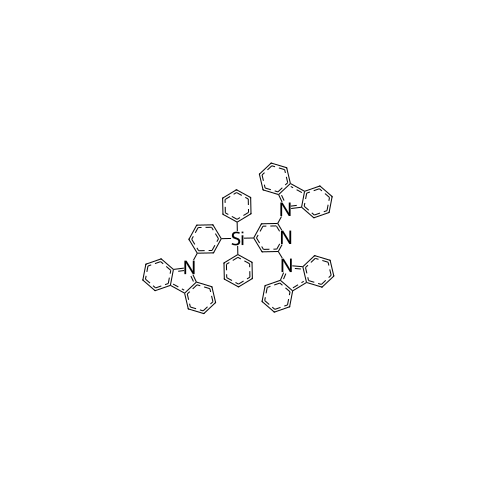 c1ccc([Si](c2ccccc2)(c2cccc(-n3c4ccccc4c4ccccc43)c2)c2cc(-n3c4ccccc4c4ccccc43)nc(-n3c4ccccc4c4ccccc43)c2)cc1